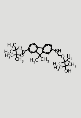 CC1(C)c2cc(BCOC(C)(C)C(C)(C)O)ccc2-c2ccc(B3OC(C)(C)C(C)(C)O3)cc21